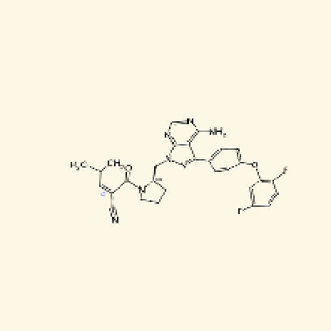 CC(C)/C=C(/C#N)C(=O)N1CCC[C@@H]1Cn1nc(-c2ccc(Oc3cc(F)ccc3F)cc2)c2c(N)ncnc21